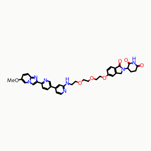 COc1ccc2nc(-c3ccc(-c4ccnc(NCCOCCOCCOc5ccc6c(c5)CN(C5CCC(=O)NC5=O)C6=O)c4)cn3)cn2c1